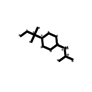 CCC(C)(C)N1CCC(NC(C)C)CC1